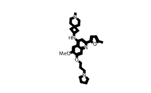 COc1cc2c(NC3CC4(CCN(C)CC4)C3)cc(-c3ccc(C)o3)nc2cc1OCCCN1CCCC1